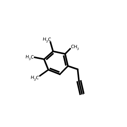 [C]#CCc1cc(C)c(C)c(C)c1C